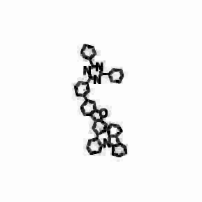 c1ccc(-c2nc(-c3ccccc3)nc(-c3cccc(-c4ccc5c(c4)oc4ccc(-c6ccccc6-n6c7ccccc7c7ccccc76)cc45)c3)n2)cc1